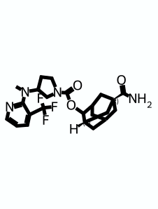 CN(c1ncccc1C(F)(F)F)C1CCN(C(=O)OC2C3CC4C[C@H]2C[C@@](C(N)=O)(C4)C3)C1